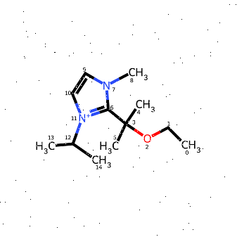 CCOC(C)(C)c1n(C)cc[n+]1C(C)C